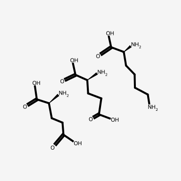 NCCCC[C@H](N)C(=O)O.N[C@@H](CCC(=O)O)C(=O)O.N[C@@H](CCC(=O)O)C(=O)O